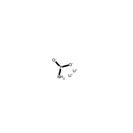 NP([O-])[O-].[Li+].[Li+]